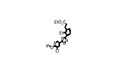 CCOC(=O)CCc1cccc(-c2noc(-c3cnc(OC(C)C)c(Cl)c3)n2)c1CC